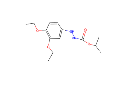 CCOc1ccc(NNC(=O)OC(C)C)cc1OCC